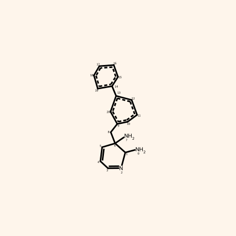 NC1N=CC=CC1(N)Cc1cccc(-c2ccccc2)c1